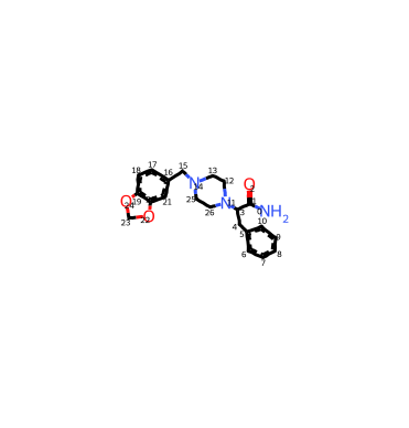 NC(=O)C(Cc1ccccc1)N1CCN(Cc2ccc3c(c2)OCO3)CC1